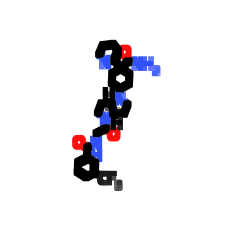 NC(=O)C1(c2ccccn2)CCC(N2CC[C@H]3[C@@H]2CCN3C(=O)CNC(=O)c2cccc(C(F)(F)F)c2)CC1